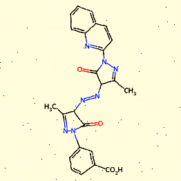 CC1=NN(c2cccc(C(=O)O)c2)C(=O)C1N=NC1C(=O)N(c2ccc3ccccc3n2)N=C1C